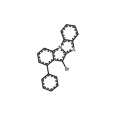 Brc1c2c(-c3ccccc3)cccc2n2c1sc1ccccc12